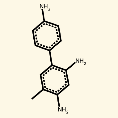 Cc1cc(-c2ccc(N)cc2)c(N)cc1N